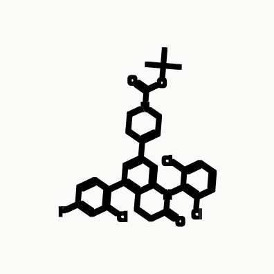 CC(C)(C)OC(=O)N1CC=C(c2cc(-c3ccc(F)cc3Cl)c3c(c2)N(c2c(Cl)cccc2Cl)C(=O)CC3)CC1